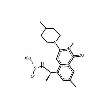 Cc1cc([C@@H](C)N[S@+]([O-])C(C)(C)C)c2cc(N3CCC(C)CC3)n(C)c(=O)c2c1